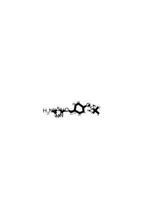 CC(C)(C)[Si](C)(C)OC1CCC(COc2nnc(N)s2)CC1